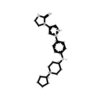 O=C1OCCN1c1cnn(-c2ccc(OC3CCN(C4CCCC4)CC3)cc2)c1